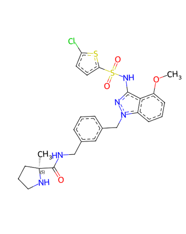 COc1cccc2c1c(NS(=O)(=O)c1ccc(Cl)s1)nn2Cc1cccc(CNC(=O)[C@]2(C)CCCN2)c1